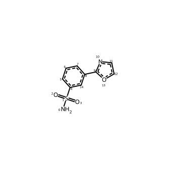 NS(=O)(=O)c1cccc(-c2ncco2)c1